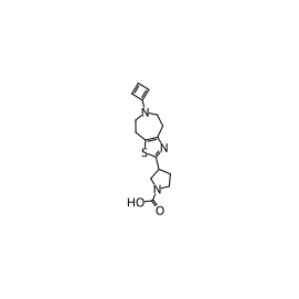 O=C(O)N1CCC(c2nc3c(s2)CCN(C2=CC=C2)CC3)C1